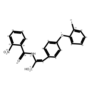 O=C(O)C(=Cc1ccc(Oc2ccccc2I)cc1)NC(=O)c1ccccc1[N+](=O)[O-]